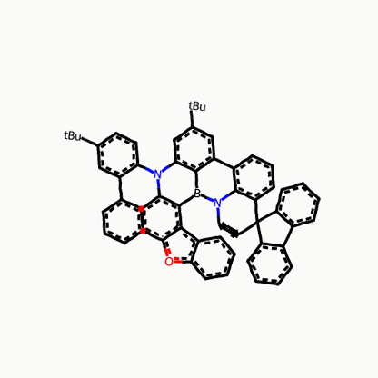 CC(C)(C)c1ccc(N2c3cc(C(C)(C)C)cc4c3B(c3c2ccc2oc5ccccc5c32)N2c3ccccc3C3(c5ccccc5-c5ccccc53)c3cccc-4c32)c(-c2ccccc2)c1